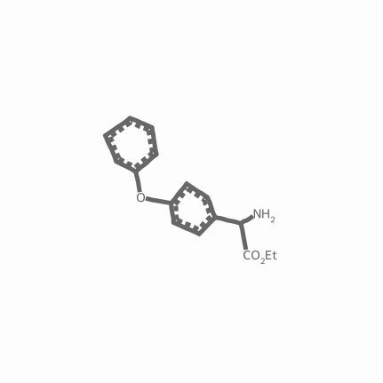 CCOC(=O)C(N)c1ccc(Oc2ccccc2)cc1